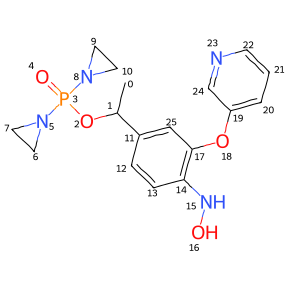 CC(OP(=O)(N1CC1)N1CC1)c1ccc(NO)c(Oc2cccnc2)c1